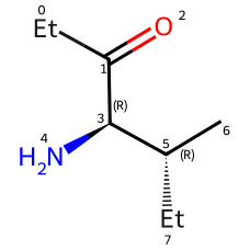 CCC(=O)[C@H](N)[C@H](C)CC